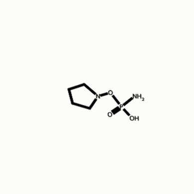 NP(=O)(O)ON1CCCC1